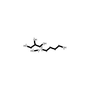 CCO.OCC(O)CO.OCCCCO